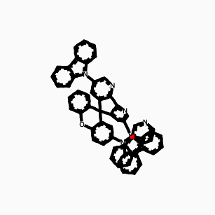 c1ccc2c(c1)Oc1ccc(-n3c4ccccc4c4ccncc43)cc1C21c2cc(-n3c4ccccc4c4ccccc43)cnc2-c2ncc(-n3c4ccccc4c4ccccc43)cc21